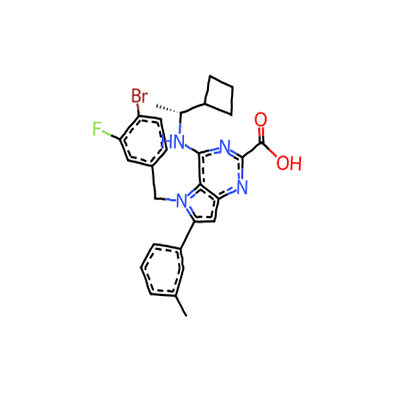 Cc1cccc(-c2cc3nc(C(=O)O)nc(N[C@H](C)C4CCC4)c3n2Cc2ccc(Br)c(F)c2)c1